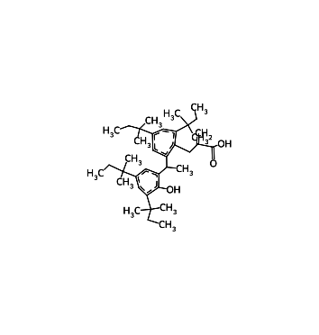 C=C(Cc1c(C(C)c2cc(C(C)(C)CC)cc(C(C)(C)CC)c2O)cc(C(C)(C)CC)cc1C(C)(C)CC)C(=O)O